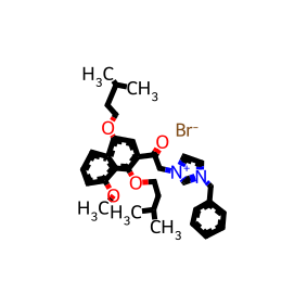 COc1cccc2c(OCCC(C)C)cc(C(=O)C[n+]3ccn(Cc4ccccc4)c3)c(OCCC(C)C)c12.[Br-]